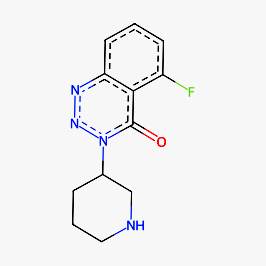 O=c1c2c(F)cccc2nnn1C1CCCNC1